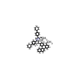 C=C/C=C(/N=C(\C(=C)C(C)c1ccc(-c2c(CC)cccc2-c2ccc3ccccc3c2)cc1)c1ccc(C2C=CC=CC2)cc1)c1ccc(C2C=CCCC2)cc1